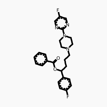 O=C(OC(CCCN1CCN(c2ncc(F)cn2)CC1)c1ccc(F)cc1)c1ccccc1